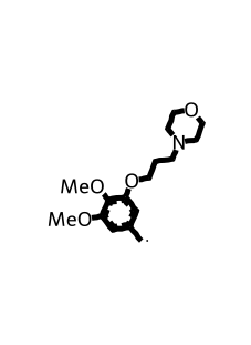 [CH2]c1cc(OC)c(OC)c(OCCCN2CCOCC2)c1